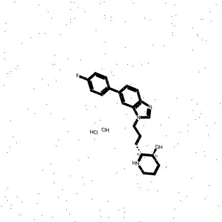 Cl.Cl.O[C@H]1CCCN[C@@H]1CCCn1cnc2ccc(-c3ccc(F)cc3)cc21